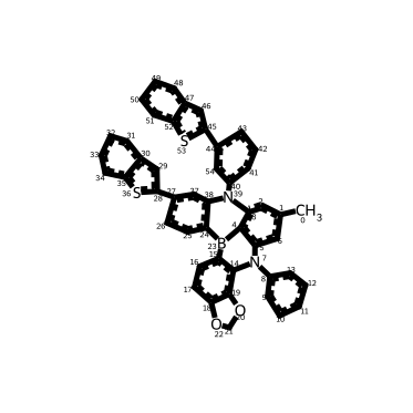 Cc1cc2c3c(c1)N(c1ccccc1)c1c(ccc4c1OCO4)B3c1ccc(-c3cc4ccccc4s3)cc1N2c1cccc(-c2cc3ccccc3s2)c1